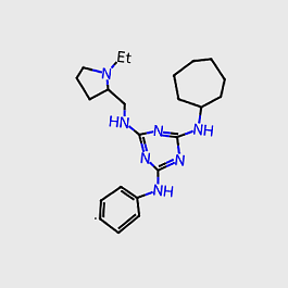 CCN1CCCC1CNc1nc(Nc2cc[c]cc2)nc(NC2CCCCCC2)n1